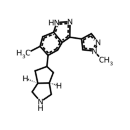 Cc1cc2[nH]nc(-c3cnn(C)c3)c2cc1C1C[C@H]2CNC[C@H]2C1